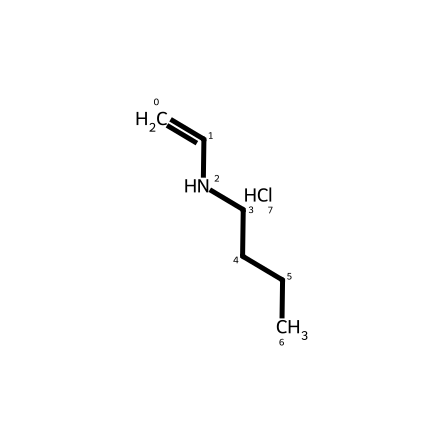 C=CNCCCC.Cl